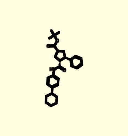 CC(C)(C)OC(=O)N1C[C@@H](C(=O)Nc2ccc(C3CCCCC3)cc2)[C@H](c2ccccc2)C1